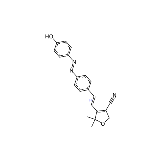 CC1(C)OCC(C#N)=C1/C=C/c1ccc(N=Nc2ccc(O)cc2)cc1